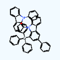 c1ccc(-c2cc([Si](c3ccccc3)(c3ccccc3)c3ccccc3)c3c(c2)c2ccccc2n3-c2cccc3c4ccccc4n(-c4ccccc4)c23)cc1